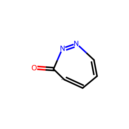 O=c1[c]cccnn1